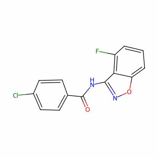 O=C(Nc1noc2cccc(F)c12)c1ccc(Cl)cc1